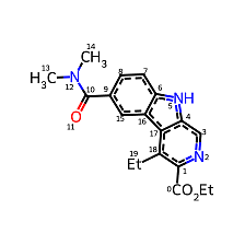 CCOC(=O)c1ncc2[nH]c3ccc(C(=O)N(C)C)cc3c2c1CC